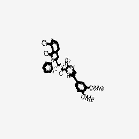 COc1ccc(-c2cnc(N)c(C(=O)N[C@@H](C)c3cc4cccc(Cl)c4c(=O)n3-c3ccccc3)n2)cc1OC